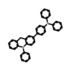 c1ccc(N(c2ccccc2)c2ccc(-c3ccc4c(c3)Cc3ccccc3N4c3ccccc3)cc2)cc1